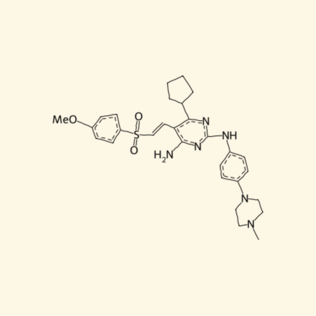 COc1ccc(S(=O)(=O)C=Cc2c(N)nc(Nc3ccc(N4CCN(C)CC4)cc3)nc2C2CCCC2)cc1